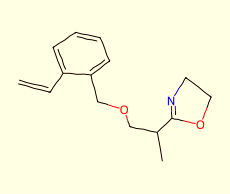 C=Cc1ccccc1COCC(C)C1=NCCO1